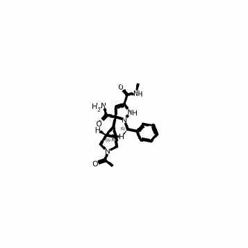 CNC(=O)C1=CC(C(N)=O)(C2[C@H]3CN(C(C)=O)C[C@@H]23)N([C@@H](C)c2ccccc2)N1